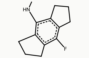 CNc1c2c(c(F)c3c1CCC3)CCC2